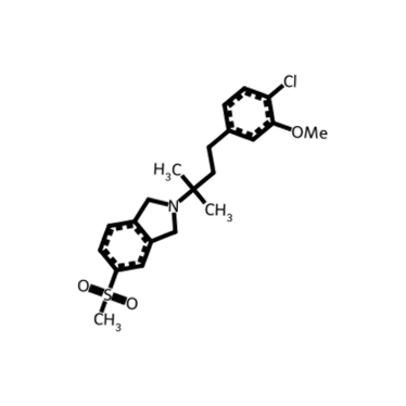 COc1cc(CCC(C)(C)N2Cc3ccc(S(C)(=O)=O)cc3C2)ccc1Cl